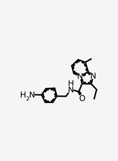 CCc1nc2c(C)cccn2c1C(=O)NCc1ccc(N)cc1